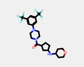 O=C(C1CCC(NC2CCOCC2)C1)N1CCN(c2cc(C(F)(F)F)cc(C(F)(F)F)c2)CC1